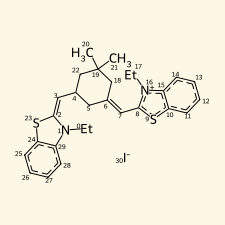 CCN1C(=CC2CC(=Cc3sc4ccccc4[n+]3CC)CC(C)(C)C2)Sc2ccccc21.[I-]